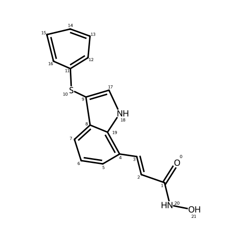 O=C(/C=C/c1cccc2c(Sc3ccccc3)c[nH]c12)NO